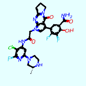 C[C@@H]1CN(c2cc(NC(=O)Cn3cc(-c4cc(C(N)=O)c(O)c(F)c4F)c4c(=O)n5c(nc43)CCC5)c(Cl)c(F)n2)CCN1